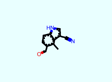 Cc1c(C=O)ccc2[nH]cc(C#N)c12